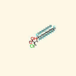 O=C(O)C(=CCl)CCC(F)(F)C(F)(F)C(F)(F)C(F)(F)C(F)(F)C(F)(F)C(F)(F)C(F)(F)F